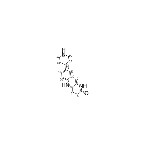 C=C1NC(=O)CCC1Nc1ccc(C2CCNCC2)cc1